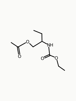 CCOC(=O)NC(CC)COC(C)=O